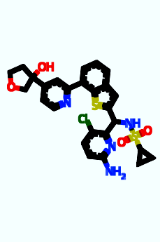 Nc1ccc(Cl)c(C(NS(=O)(=O)C2CC2)c2cc3cccc(-c4cc(C5(O)CCOC5)ccn4)c3s2)n1